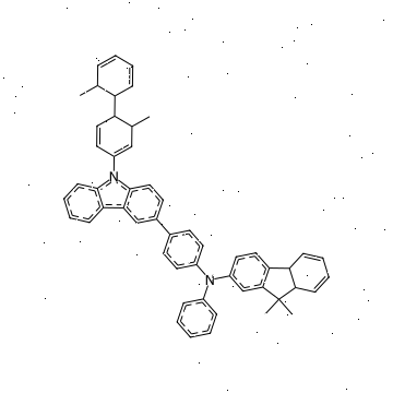 CC1C=CC=CC1C1C=CC(n2c3ccccc3c3cc(-c4ccc(N(c5ccccc5)c5ccc6c(c5)C(C)(C)C5C=CC=CC65)cc4)ccc32)=CC1C